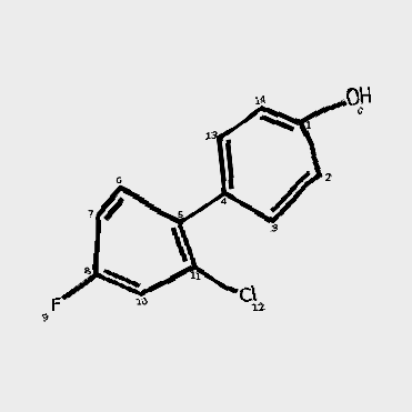 Oc1ccc(-c2ccc(F)cc2Cl)cc1